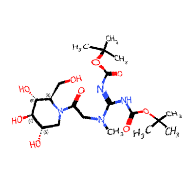 CN(CC(=O)N1C[C@H](O)[C@@H](O)[C@H](O)[C@H]1CO)C(=NC(=O)OC(C)(C)C)NC(=O)OC(C)(C)C